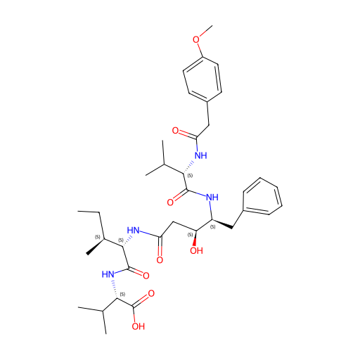 CC[C@H](C)[C@H](NC(=O)C[C@H](O)[C@H](Cc1ccccc1)NC(=O)[C@@H](NC(=O)Cc1ccc(OC)cc1)C(C)C)C(=O)N[C@H](C(=O)O)C(C)C